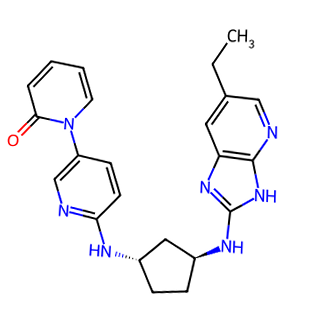 CCc1cnc2[nH]c(N[C@H]3CC[C@H](Nc4ccc(-n5ccccc5=O)cn4)C3)nc2c1